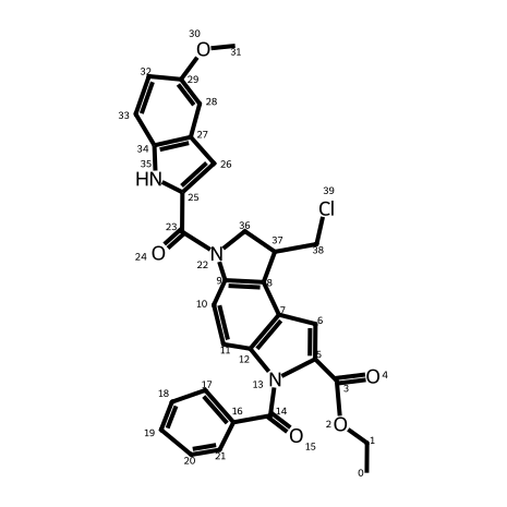 CCOC(=O)c1cc2c3c(ccc2n1C(=O)c1ccccc1)N(C(=O)c1cc2cc(OC)ccc2[nH]1)CC3CCl